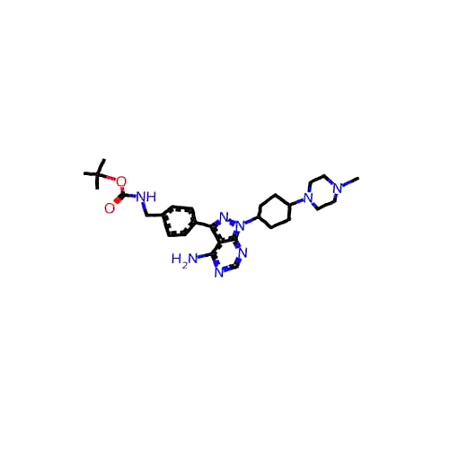 CN1CCN(C2CCC(n3nc(-c4ccc(CNC(=O)OC(C)(C)C)cc4)c4c(N)ncnc43)CC2)CC1